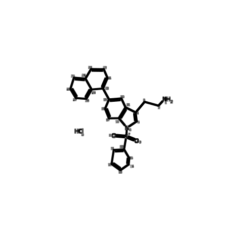 Cl.NCCc1cn(S(=O)(=O)c2ccccc2)c2ccc(-c3cccc4ccccc34)cc12